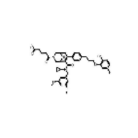 COc1cc(CN(C(=O)C2=C(c3ccc(CCCOc4cc(F)ccc4Br)cc3)CC3CN(C(=O)CCCC(N)=O)CC2N3)C2CC2)cc(OC)c1